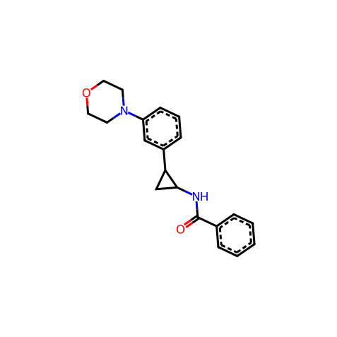 O=C(NC1CC1c1cccc(N2CCOCC2)c1)c1ccccc1